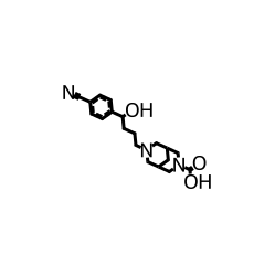 N#Cc1ccc(C(O)CCCN2CC3CC(C2)CN(C(=O)O)C3)cc1